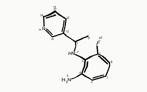 CC(Nc1c(N)cccc1F)c1cccnc1